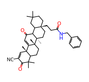 CC1(C)CC[C@]2(CCC(=O)NCc3ccccc3)CC[C@]3(C)C(C(=O)C=C4[C@@]5(C)C=C(C#N)C(=O)C(C)(C)C5CC[C@]43C)C2C1